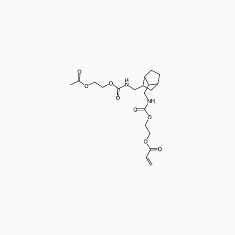 C=CC(=O)OCCOC(=O)NCC1C2CCC1C(CNC(=O)OCCOC(C)=O)C2